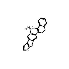 Cc1c(-c2cc3sc4sccc4c3c[n+]2C)ccc2ccccc12